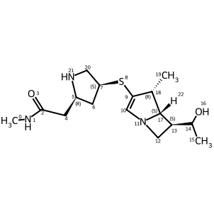 CNC(=O)C[C@@H]1C[C@H](SC2=CN3C[C@H](C(C)O)[C@H]3[C@H]2C)CN1